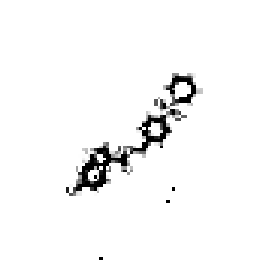 O=C(NCc1ccc(S(=O)(=O)N2CCCCC2)cc1)c1c[nH]c2cc(Cl)ccc12